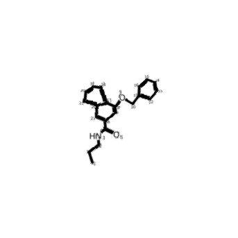 CCCNC(=O)c1cc(OCc2ccccc2)c2ccccc2c1